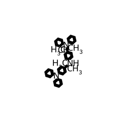 CC1C=CC=CC1N(c1ccccc1)C(C)(C)c1ccc(NC(C)(C)c2ccc(N(c3ccccc3)c3ccccc3)cc2)cc1